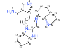 CC(c1c[nH]cc1CN)N(Cc1nc2ccccc2[nH]1)C1CCCc2cccnc21